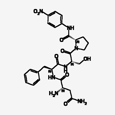 NC(=O)C[C@H](N)C(=O)N[C@@H](Cc1ccccc1)C(=O)N[C@@H](CO)C(=O)N1CCC[C@H]1C(=O)Nc1ccc([N+](=O)[O-])cc1